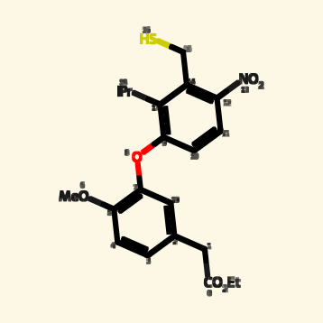 CCOC(=O)Cc1ccc(OC)c(Oc2ccc([N+](=O)[O-])c(CS)c2C(C)C)c1